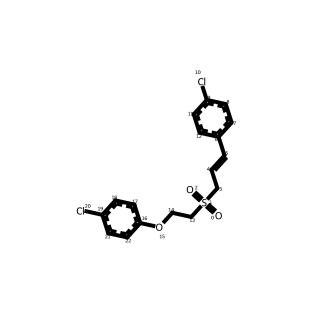 O=S(=O)(CC=Cc1ccc(Cl)cc1)CCOc1ccc(Cl)cc1